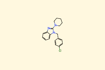 Clc1ccc(Cn2c(N3CCCCC3)nc3ccccc32)cc1